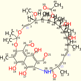 CO[C@H]1/C=C/OC(C)(C)Oc2c(C)c(O)c3c(O)c(c(C=O)c(O)c3c2C=O)NC(=O)/C(C)=C\C=C\[C@H](C)[C@H](O)[C@@H](C)[C@@H](O)[C@@H](C)[C@H](OC(C)=O)[C@@H]1C